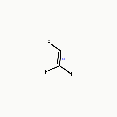 F/C=C(\F)I